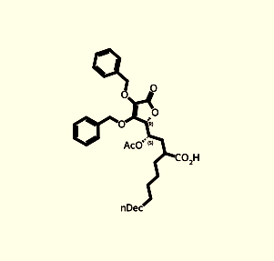 CCCCCCCCCCCCCCC(C[C@H](OC(C)=O)[C@H]1OC(=O)C(OCc2ccccc2)=C1OCc1ccccc1)C(=O)O